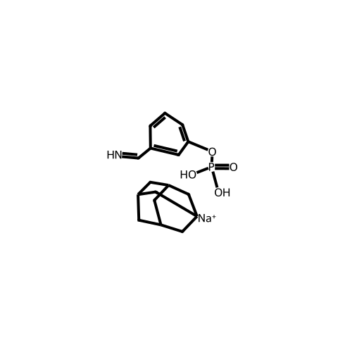 C1C2CC3CC1CC(C2)C3.N=Cc1cccc(OP(=O)(O)O)c1.[Na+]